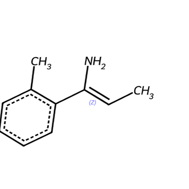 C/C=C(\N)c1ccccc1C